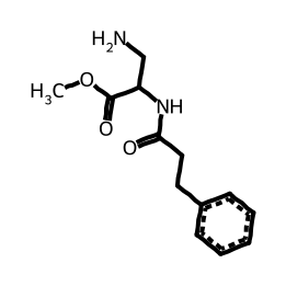 COC(=O)C(CN)NC(=O)CCc1ccccc1